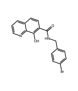 O=C(NCc1ccc(Br)cc1)c1ccc2cccnc2c1O